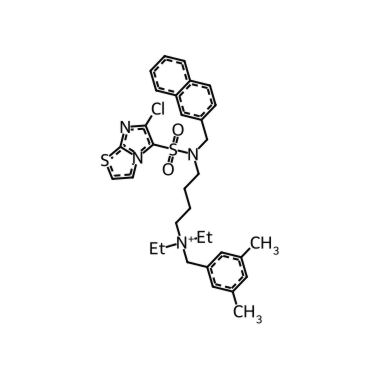 CC[N+](CC)(CCCCN(Cc1ccc2ccccc2c1)S(=O)(=O)c1c(Cl)nc2sccn12)Cc1cc(C)cc(C)c1